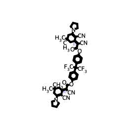 CC1(C)CC(N2CCCC2)=C(C#N)/C(=C(\C#N)C(=O)Oc2ccc(C(c3ccc(OC(=O)/C(C#N)=C4\CC(C)(C)CC(N5CCCC5)=C4C#N)cc3)(C(F)(F)F)C(F)(F)F)cc2)C1